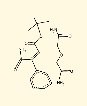 CC(C)(C)OC(=O)C=C(C(N)=O)c1ccccc1.NC(=O)COCC(N)=O